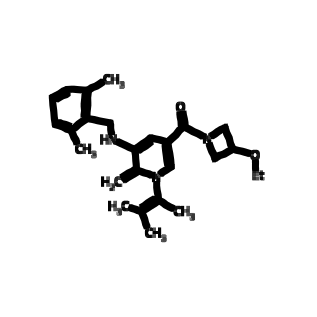 C=C1C(NCc2c(C)cccc2C)=CC(C(=O)N2CC(OCC)C2)=CN1C(C)=C(C)C